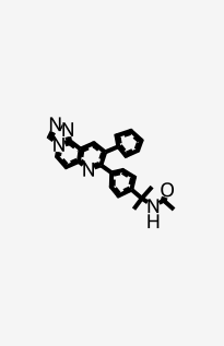 CC(=O)NC(C)(C)c1ccc(-c2nc3ccn4cnnc4c3cc2-c2ccccc2)cc1